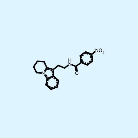 O=C(NCCc1c2n(c3ccccc13)CCCC2)c1ccc([N+](=O)[O-])cc1